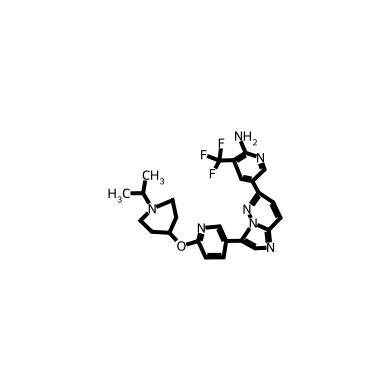 CC(C)N1CCC(Oc2ccc(-c3cnc4ccc(-c5cnc(N)c(C(F)(F)F)c5)nn34)cn2)CC1